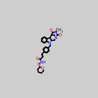 CN1C(=O)C2CN(CC3C2c2ccccc2N3Cc2ccc(/C=C/C(=O)NOC3CCCCO3)cc2)C1=O